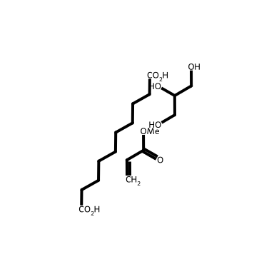 C=CC(=O)OC.O=C(O)CCCCCCCCC(=O)O.OCC(O)CO